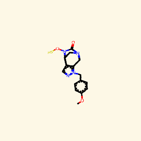 COc1ccc(Cn2ncc3c2CN2CC3N(OS)C2=O)cc1